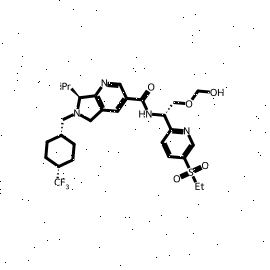 CCS(=O)(=O)c1ccc([C@@H](COCO)NC(=O)c2cnc3c(c2)CN(C[C@H]2CC[C@@H](C(F)(F)F)CC2)[C@H]3C(C)C)nc1